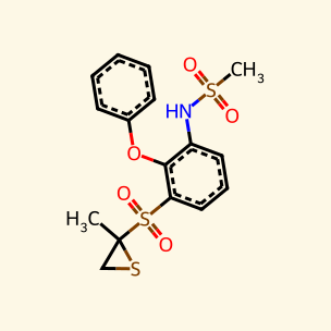 CC1(S(=O)(=O)c2cccc(NS(C)(=O)=O)c2Oc2ccccc2)CS1